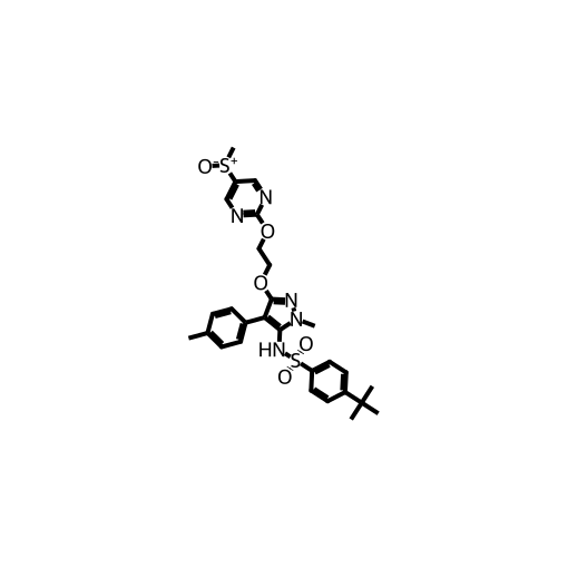 Cc1ccc(-c2c(OCCOc3ncc([S+](C)[O-])cn3)nn(C)c2NS(=O)(=O)c2ccc(C(C)(C)C)cc2)cc1